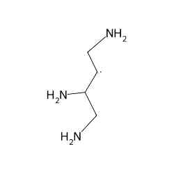 NC[CH]C(N)CN